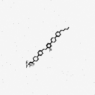 CCCCCC1CCC(C2CCC(c3ccc(CCC4CCC(C5CCC(/C(F)=C/C(F)(F)F)CC5)CC4)c(F)c3)CC2)CC1